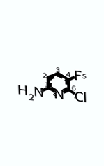 Nc1ccc(F)c(Cl)n1